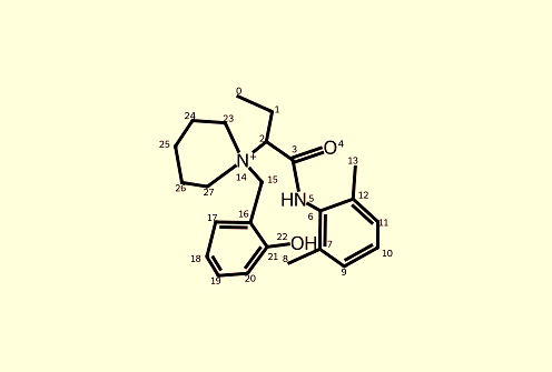 CCC(C(=O)Nc1c(C)cccc1C)[N+]1(Cc2ccccc2O)CCCCC1